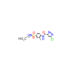 Cc1cc(S(=O)(=O)NCCC(=O)O)ccc1NC(=O)c1cc(Cl)ncn1